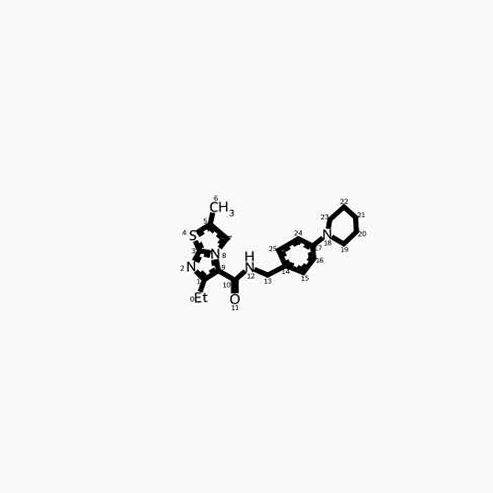 CCc1nc2sc(C)cn2c1C(=O)NCc1ccc(N2CCCCC2)cc1